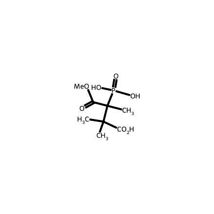 COC(=O)C(C)(C(C)(C)C(=O)O)P(=O)(O)O